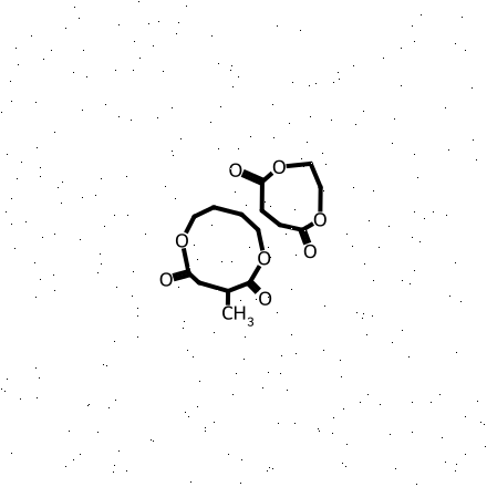 CC1CC(=O)OCCCCOC1=O.O=C1CCC(=O)OCCO1